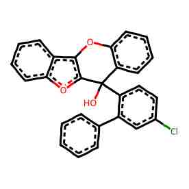 OC1(c2ccc(Cl)cc2-c2ccccc2)c2ccccc2Oc2c1oc1ccccc21